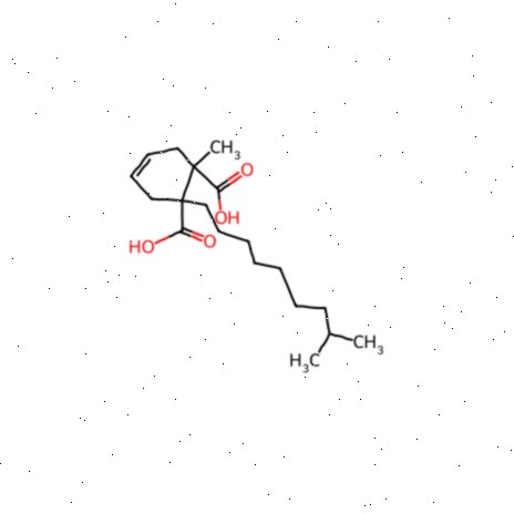 CC(C)CCCCCCCC1(C(=O)O)CC=CCC1(C)C(=O)O